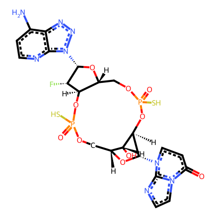 Nc1ccnc2c1nnn2[C@@H]1O[C@@H]2COP(=O)(S)O[C@@H]3[C@H](O)[C@@H](COP(=O)(S)O[C@H]2[C@@H]1F)O[C@H]3n1ccc(=O)n2ccnc12